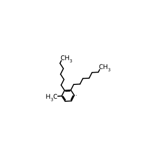 CCCCCCCc1[c]ccc(C)c1CCCCCC